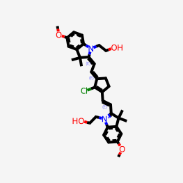 COc1ccc2c(c1)C(C)(C)C(/C=C/C1=C(Cl)C(=C/C=C3/N(CCO)c4ccc(OC)cc4C3(C)C)/CC1)=[N+]2CCO